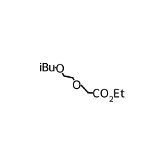 CCOC(=O)CCOCCOC(C)CC